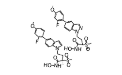 COc1ccc(-c2ccc3c(ccn3CC[C@](C)(C(=O)NO)S(C)(=O)=O)c2)c(F)c1.COc1ccc(-c2ccc3c(cnn3CC[C@](C)(C(=O)NO)S(C)(=O)=O)c2)c(F)c1